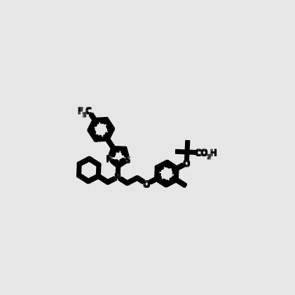 Cc1cc(OCCN(CC2CCCCC2)c2nc(-c3ccc(C(F)(F)F)cc3)cs2)ccc1OC(C)(C)C(=O)O